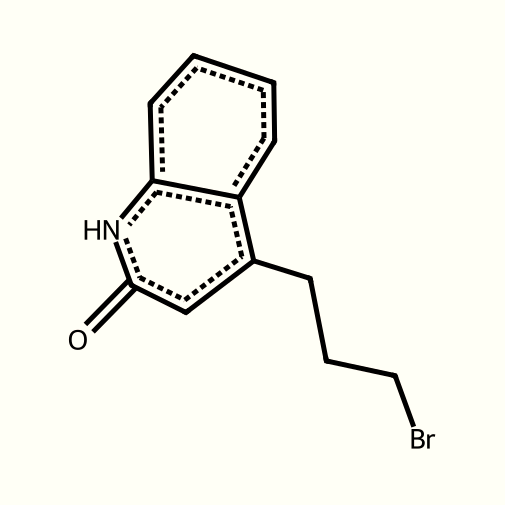 O=c1cc(CCCBr)c2ccccc2[nH]1